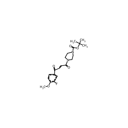 COc1ccc(C(=O)/C=C/C(=O)N2CCN(C(=O)OC(C)(C)C)CC2)cc1F